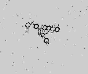 Cc1ccccc1Oc1cc2cnc(Nc3ccc(N(C)C4CCCNC4)cc3)nc2n(Cc2cncn2-c2ccncc2)c1=O